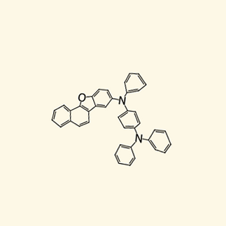 c1ccc(N(c2ccccc2)c2ccc(N(c3ccccc3)c3ccc4oc5c6ccccc6ccc5c4c3)cc2)cc1